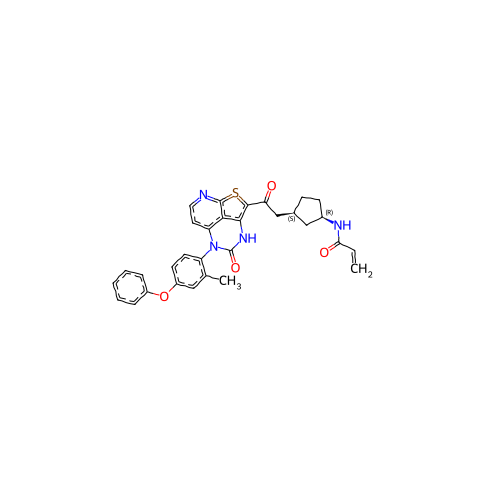 C=CC(=O)N[C@@H]1CC[C@H](CC(=O)c2sc3nccc4c3c2NC(=O)N4c2ccc(Oc3ccccc3)cc2C)C1